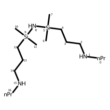 CCCNCCC[Si](C)(C)N[Si](C)(C)CCCNCCC